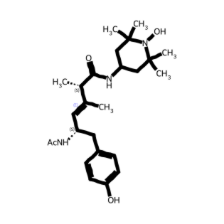 CC(=O)N[C@H](/C=C(\C)[C@H](C)C(=O)NC1CC(C)(C)N(O)C(C)(C)C1)Cc1ccc(O)cc1